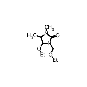 CCOCN1C(=O)N(C)C(C)C1OCC